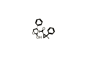 C[C@@]1(c2ccccc2)C[C@H]1C(=O)N1C(O)OC[C@@H]1c1ccccc1